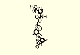 COc1cnc2c(-c3nc4c(C)cc5c(c4s3)OCC(COC(=O)Nc3ccnc(C(=O)O)c3)O5)cc(C)cc2n1